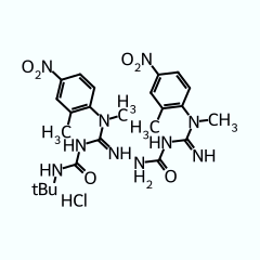 Cc1cc([N+](=O)[O-])ccc1N(C)C(=N)NC(=O)NC(C)(C)C.Cc1cc([N+](=O)[O-])ccc1N(C)C(=N)NC(N)=O.Cl